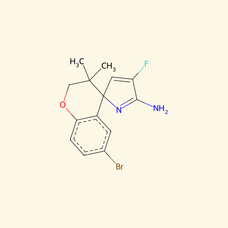 CC1(C)COc2ccc(Br)cc2C12C=C(F)C(N)=N2